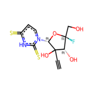 C#CC1(O)[C@@H](O)[C@@](F)(CO)O[C@H]1n1ccc(=S)[nH]c1=S